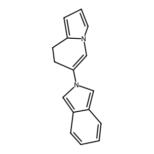 C1=C(n2cc3ccccc3c2)CCc2cccn21